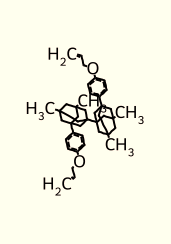 C=CCOc1ccc(C23CC4(C)CC(C)(C2)CC(C25CC6(C)CC(C)(CC(c7ccc(OCC=C)cc7)(C6)C2)C5)(C4)C3)cc1